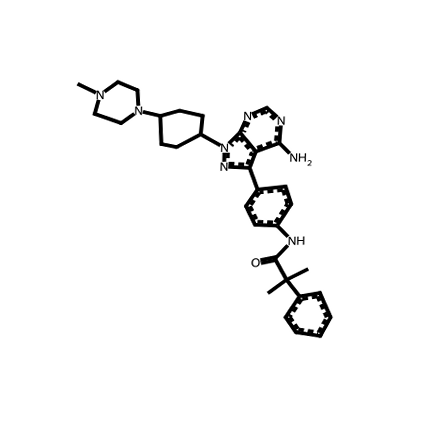 CN1CCN(C2CCC(n3nc(-c4ccc(NC(=O)C(C)(C)c5ccccc5)cc4)c4c(N)ncnc43)CC2)CC1